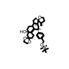 C=C1CCO[C@]12CCC1C3CC[C@@]4(O)CC5(CCC4=C3[C@@H](c3ccc(CO[Si](C)(C)C(C)(C)C)cc3)C[C@@]12C)OCCO5